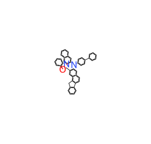 c1ccc(-c2ccc(N(c3ccc4ccccc4c3)c3cc4ccc5c(c4cc3-c3nc4ccccc4o3)Cc3ccccc3-5)cc2)cc1